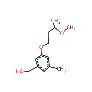 COC(C)CCOc1cc(C)[c]c(CO)c1